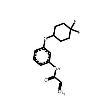 C=CC(=O)Nc1cccc(OC2CCC(F)(F)CC2)c1